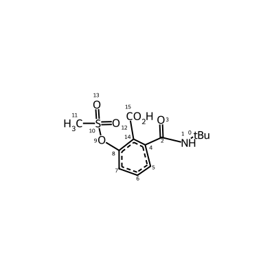 CC(C)(C)NC(=O)c1cccc(OS(C)(=O)=O)c1C(=O)O